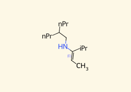 C/C=C(/NCC(CCC)CCC)C(C)C